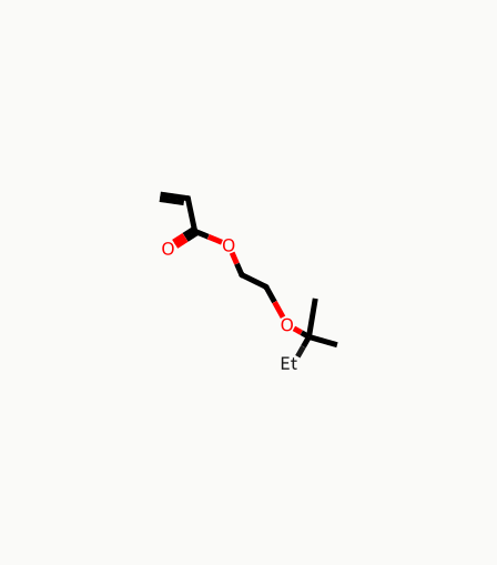 C=CC(=O)OCCOC(C)(C)CC